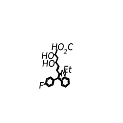 CCn1c(/C=C/C(O)CC(O)CC(=O)O)c(-c2ccc(F)cc2)c2ccccc21